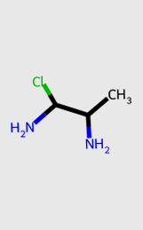 CC(N)C(N)Cl